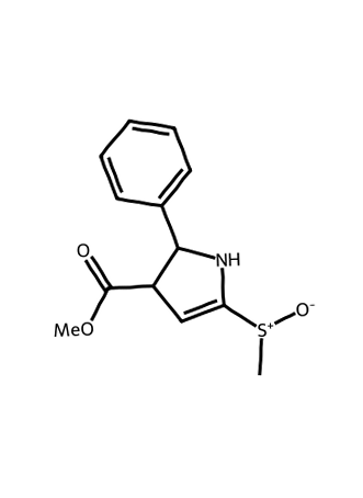 COC(=O)C1C=C([S+](C)[O-])NC1c1ccccc1